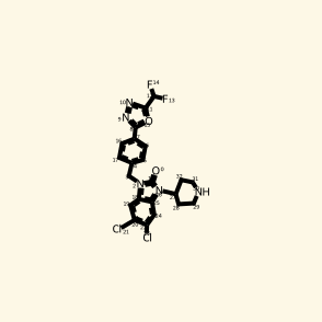 O=c1n(Cc2ccc(-c3nnc(C(F)F)o3)cc2)c2cc(Cl)c(Cl)cc2n1C1CCNCC1